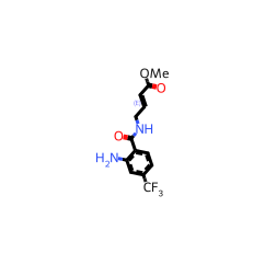 COC(=O)/C=C/CNC(=O)c1ccc(C(F)(F)F)cc1N